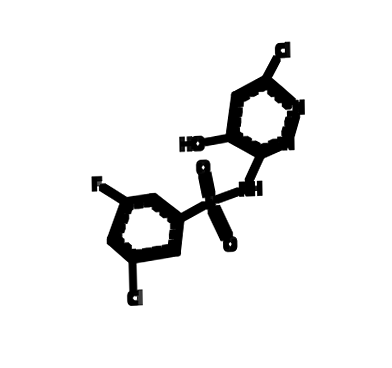 O=S(=O)(Nc1nnc(Cl)cc1O)c1cc(F)cc(Cl)c1